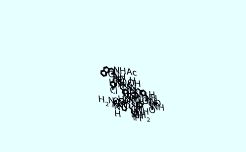 CC(=O)N[C@H](Cc1ccc2ccccc2c1)C(=O)N[C@H](Cc1ccc(Cl)cc1)C(=O)N[C@H](Cc1cccnc1)C(=O)N[C@@H](CO)C(=O)N[C@@H](Cc1ccc(NC(=O)[C@H]2CC(=O)NC(=O)N2)cc1)C(=O)N[C@H](Cc1ccc(NC(N)=O)cc1)C(=O)N[C@@H](CC(C)C)C(=O)N[C@@H](CCCCNC(C)C)C(=O)N1CCCC1C(=O)N[C@H](C)C(N)=O